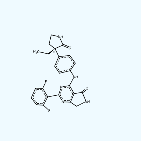 CC[C@@]1(c2ccc(Nc3nc(-c4c(F)cccc4F)nc4c3C(=O)NC4)cc2)CCNC1=O